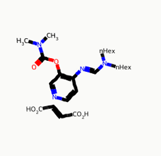 CCCCCCN(C=Nc1ccncc1OC(=O)N(C)C)CCCCCC.O=C(O)C=CC(=O)O